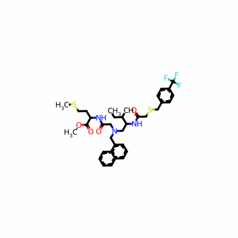 CCC(C)C(CN(CC(=O)NC(CCSC)C(=O)OC)Cc1cccc2ccccc12)NC(=O)CSCc1ccc(C(F)(F)F)cc1